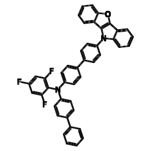 Fc1cc(F)c(N(c2ccc(-c3ccccc3)cc2)c2ccc(-c3ccc(-n4c5ccccc5c5oc6ccccc6c54)cc3)cc2)c(F)c1